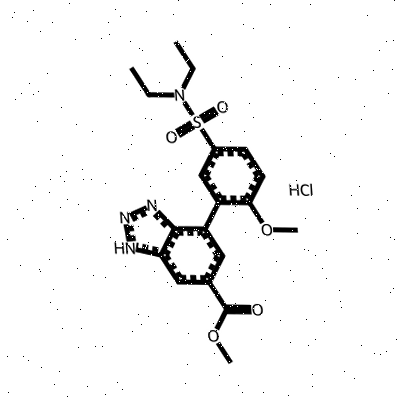 CCN(CC)S(=O)(=O)c1ccc(OC)c(-c2cc(C(=O)OC)cc3[nH]nnc23)c1.Cl